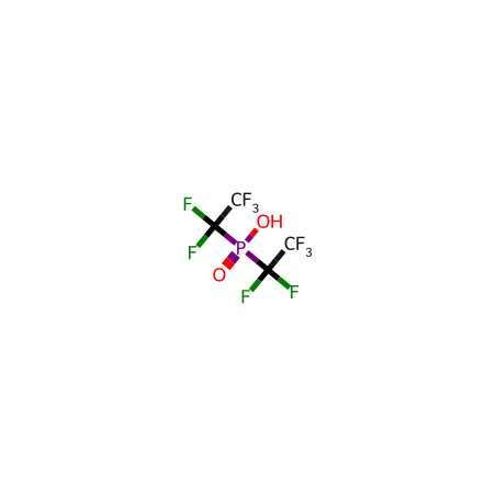 O=P(O)(C(F)(F)C(F)(F)F)C(F)(F)C(F)(F)F